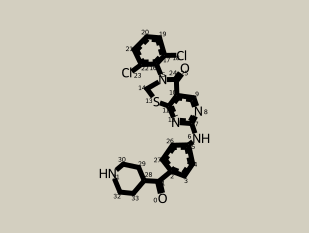 O=C(c1ccc(Nc2ncc3c(n2)SCN(c2c(Cl)cccc2Cl)C3=O)cc1)C1CCNCC1